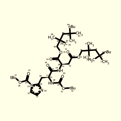 CCCCC(C)(C)CC(C)(C)COC(=O)C[C@@H](NC(=O)[C@H](Cc1nccn1C(=O)OC(C)(C)C)NC(=O)OC(C)(C)C)C(=O)OCC(C)(C)CC(C)(C)CCCC